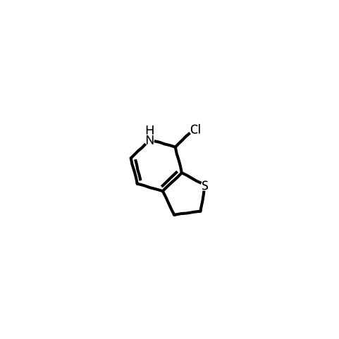 ClC1NC=CC2=C1SCC2